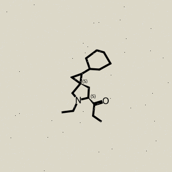 CCC(=O)[C@@H]1C[C@]2(CC2C2CCCCC2)CN1CC